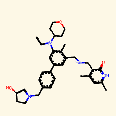 CCN(c1cc(-c2ccc(CN3CC[C@@H](O)C3)cc2)cc(CNCc2c(C)cc(C)[nH]c2=O)c1C)C1CCOCC1